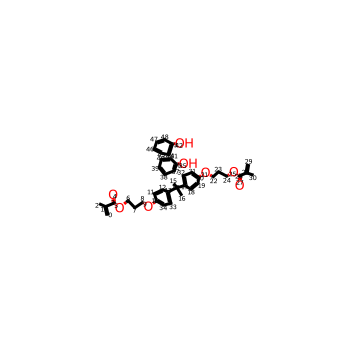 C=C(C)C(=O)OCCCOc1ccc(C(C)(C)c2ccc(OCCCOC(=O)C(=C)C)cc2)cc1.Oc1ccccc1.Oc1ccccc1